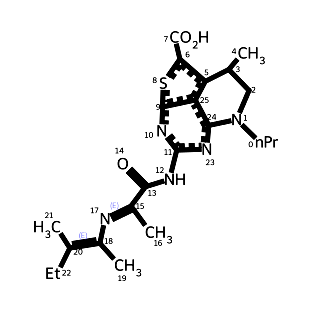 CCCN1CC(C)c2c(C(=O)O)sc3nc(NC(=O)/C(C)=N/C(C)=C(\C)CC)nc1c23